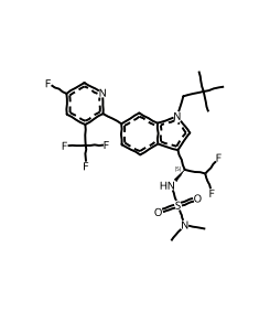 CN(C)S(=O)(=O)N[C@@H](c1cn(CC(C)(C)C)c2cc(-c3ncc(F)cc3C(F)(F)F)ccc12)C(F)F